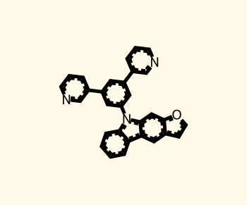 c1cncc(-c2cc(-c3cccnc3)cc(-n3c4ccccc4c4cc5ccoc5cc43)c2)c1